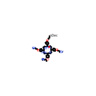 CCCCCCCCCCCCCCOc1ccc(-c2c3nc(c(-c4ccc(OCCC[N+](C)(C)C)cc4)c4ccc([nH]4)c(-c4ccc(OC(C)CC[N+](C)(C)C)cc4)c4nc(c(-c5ccc(OCCC[N+](C)(C)C)cc5)c5ccc2[nH]5)C=C4)C=C3)cc1